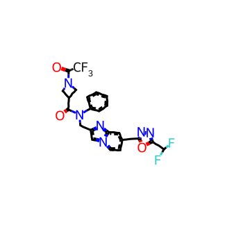 O=C(C1CN(C(=O)C(F)(F)F)C1)N(Cc1cn2ccc(-c3nnc(C(F)F)o3)cc2n1)c1ccccc1